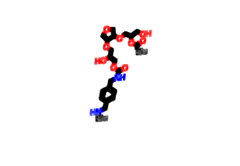 CC(C)(C)NCc1ccc(CNC(=O)OCC(O)COC2COCC2OCC(CO)OC(=O)C(C)(C)C)cc1